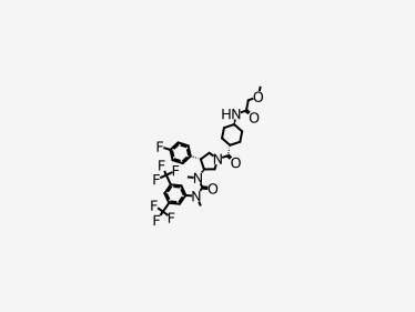 COCC(=O)N[C@H]1CC[C@H](C(=O)N2C[C@@H](N(C)C(=O)N(C)c3cc(C(F)(F)F)cc(C(F)(F)F)c3)[C@H](c3ccc(F)cc3)C2)CC1